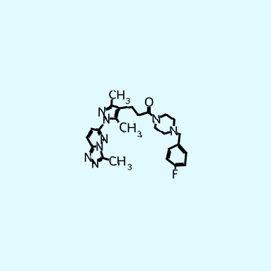 Cc1nn(-c2ccc3nnc(C)n3n2)c(C)c1CCC(=O)N1CCN(Cc2ccc(F)cc2)CC1